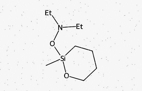 CCN(CC)O[Si]1(C)CCCCO1